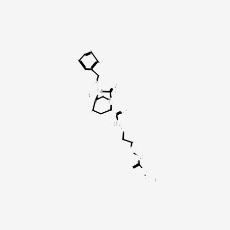 CC(C)(C)OC(=O)NOCCONC(=O)[C@@H]1CC[C@@H]2CN1C(=O)N2OCc1ccccc1